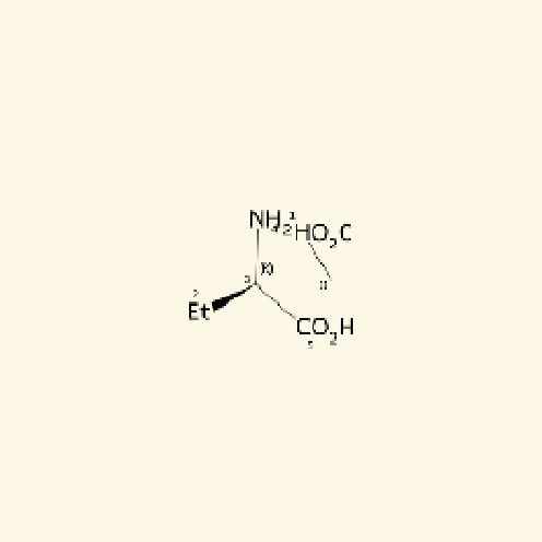 CC(=O)O.CC[C@@H](N)C(=O)O